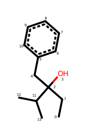 CCC(O)(Cc1ccccc1)C(C)C